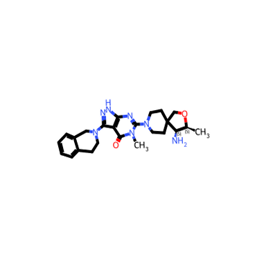 C[C@@H]1OCC2(CCN(c3nc4[nH]nc(N5CCc6ccccc6C5)c4c(=O)n3C)CC2)[C@@H]1N